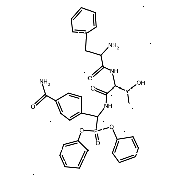 CC(O)C(NC(=O)C(N)Cc1ccccc1)C(=O)NC(c1ccc(C(N)=O)cc1)P(=O)(Oc1ccccc1)Oc1ccccc1